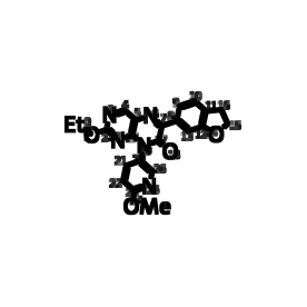 CCOc1ncc2nc(-c3ccc4c(c3)OCC4)c(=O)n(-c3ccc(OC)nc3)c2n1